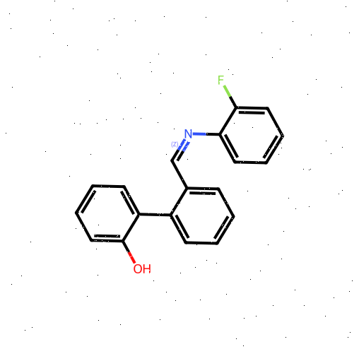 Oc1ccccc1-c1ccccc1/C=N\c1ccccc1F